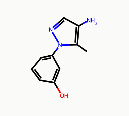 Cc1c(N)cnn1-c1cccc(O)c1